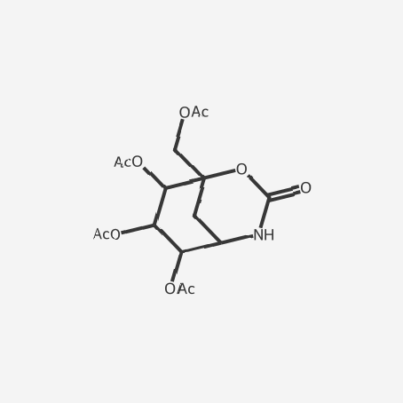 CC(=O)OCC12CC(NC(=O)O1)C(OC(C)=O)C(OC(C)=O)C2OC(C)=O